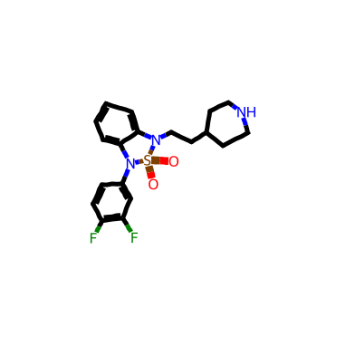 O=S1(=O)N(CCC2CCNCC2)c2ccccc2N1c1ccc(F)c(F)c1